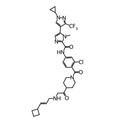 Cn1c(-c2cn(C3CC3)nc2C(F)(F)F)cnc1C(=O)Nc1ccc(C(=O)N2CCC(C(=O)CNC/C=C/C3CCC3)CC2)c(Cl)c1